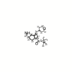 CC1(C)C(C(=O)c2cn(CC3CCOCC3)c3cc(CN)ccc23)C1(C)C